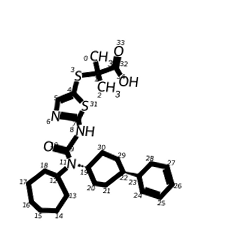 CC(C)(Sc1cnc(NC(=O)N(C2CCCCCC2)[C@H]2CC[C@H](C3C=CC=CC3)CC2)s1)C(=O)O